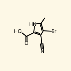 Cc1[nH]c(C(=O)O)c(C#N)c1Br